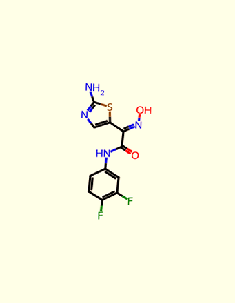 Nc1ncc(/C(=N\O)C(=O)Nc2ccc(F)c(F)c2)s1